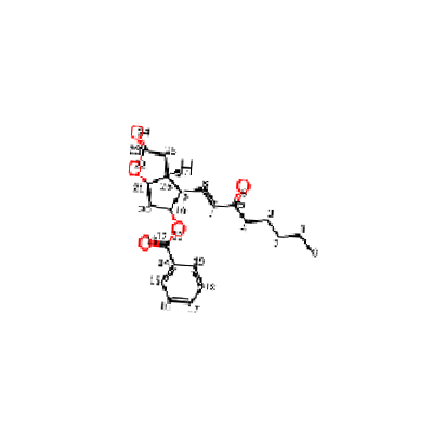 CCCCCC(=O)/C=C/[C@H]1C(OC(=O)c2ccccc2)CC2OC(=O)C[C@@H]21